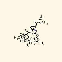 CCC(CC)C(F)Cn1ccn(CC(=O)c2cc(C(C)(C)C)c(O)c(C(C)(C)C)c2)/c1=N\C(=O)OCOC(C)=O